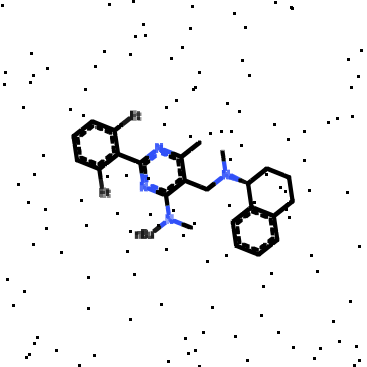 CCCCN(C)c1nc(-c2c(CC)cccc2CC)nc(C)c1CN(C)[C@H]1CCCc2ccccc21